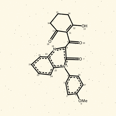 COc1ccc(-n2c(=O)c(C(=O)C3=C(O)CCCC3=O)nc3ccccc32)cc1